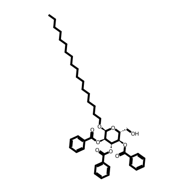 CCCCCCCCCCCCCCCCCCO[C@H]1O[C@H]([CH]O)[C@@H](OC(=O)c2ccccc2)[C@H](OC(=O)c2ccccc2)[C@H]1OC(=O)c1ccccc1